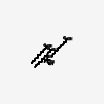 CCC(CO)(CO)CO.CCCCCCCCCCCC(=O)O.CCCCCCCCCCCC(=O)O.CCCCCCCCCCCC(=O)O